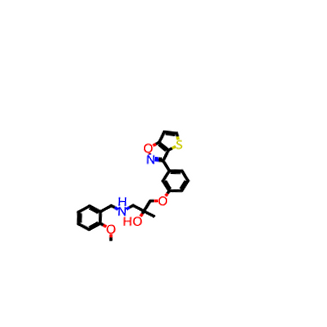 COc1ccccc1CNCC(C)(O)COc1cccc(-c2noc3ccsc23)c1